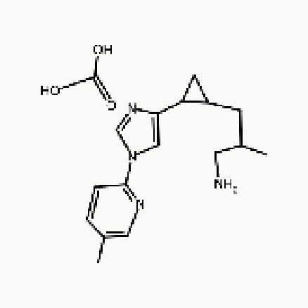 Cc1ccc(-n2cnc(C3CC3CC(C)CN)c2)nc1.O=C(O)O